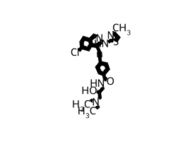 CCN(CC)CC(O)CNC(=O)c1ccc(C#Cc2c(Nc3nc(C)cs3)ncc3ccc(Cl)cc23)cc1